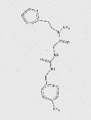 Cc1ccc(CNC(=O)NCC(=O)N(C)CCc2ccccc2)cc1